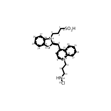 O=S(=O)(O)CCCN1/C(=C/c2cc[n+](CCCNCl)c3ccccc23)Sc2ccccc21